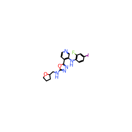 Fc1cc(I)ccc1Nc1cnccc1-c1nnc(NCC2CCCO2)o1